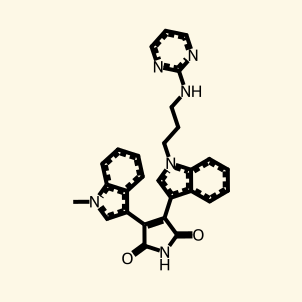 Cn1cc(C2=C(c3cn(CCCNc4ncccn4)c4ccccc34)C(=O)NC2=O)c2ccccc21